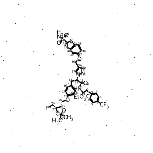 CCOC(=O)C(Cc1ccc(C(F)(F)F)cc1)NC(=O)C(Cc1ccc(OC[C@@H]2OC(C)(C)O[C@H]2CF)cc1)n1cc(COc2ccc3sc(S(N)(=O)=O)nc3c2)nn1